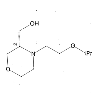 CC(C)OCCN1CCOC[C@@H]1CO